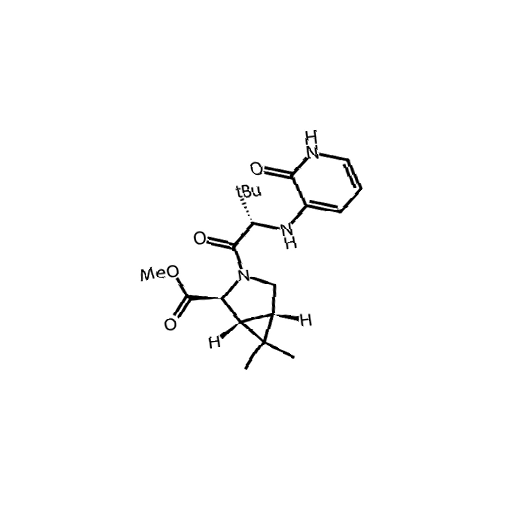 COC(=O)[C@@H]1[C@@H]2[C@H](CN1C(=O)[C@@H](Nc1ccc[nH]c1=O)C(C)(C)C)C2(C)C